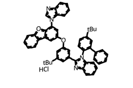 CC(C)(C)c1cc(Oc2cc(-n3cnc4ccccc43)c3oc4ccccc4c3c2)cc(-c2nc3ccccc3n2-c2ccc(C(C)(C)C)cc2-c2ccccc2)c1.Cl